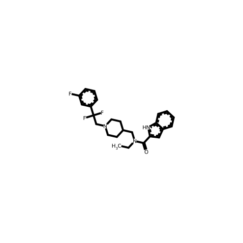 CCN(CC1CCN(CC(F)(F)c2cccc(F)c2)CC1)C(=O)c1cc2ccccc2[nH]1